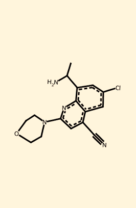 CC(N)c1cc(Cl)cc2c(C#N)cc(N3CCOCC3)nc12